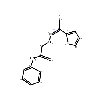 CC/C(=N/OCC(=O)Nc1ccccc1)c1cccs1